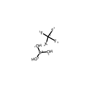 F[C](F)(F)[K].OB(O)O